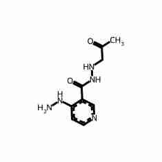 CC(=O)CNNC(=O)c1cnccc1NN